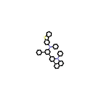 c1ccc(-c2cc(-c3ccc4c(c3)N(c3ccccc3)c3cccc5cccc-4c35)cc(N(c3ccccc3)c3ccc4sc5ccccc5c4c3)c2)cc1